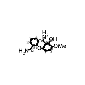 COc1ccc(Oc2ccccc2CN)c(CN)c1O